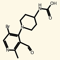 Cc1ncc(Br)c(N2CCC(NC(=O)O)CC2)c1C=O